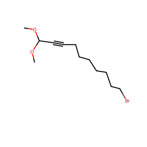 COC(C#CCCCCCCCBr)OC